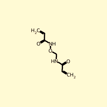 C=CC(=O)NCONC(=O)C=C